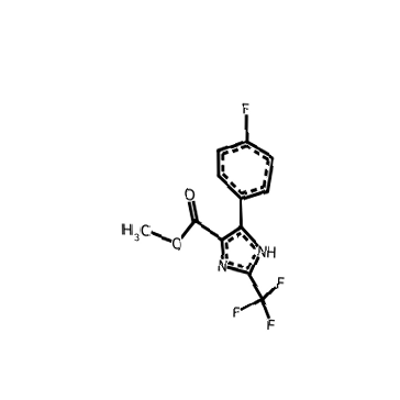 COC(=O)c1nc(C(F)(F)F)[nH]c1-c1ccc(F)cc1